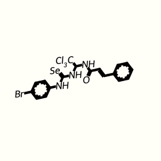 O=C(/C=C/c1ccccc1)NC(NC(=[Se])Nc1ccc(Br)cc1)C(Cl)(Cl)Cl